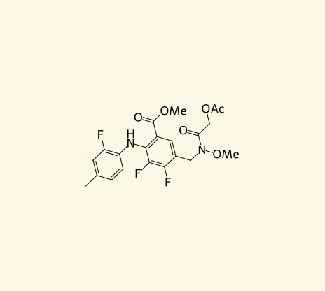 COC(=O)c1cc(CN(OC)C(=O)COC(C)=O)c(F)c(F)c1Nc1ccc(C)cc1F